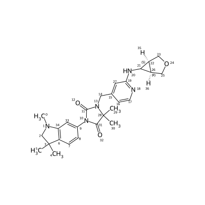 CN1CC(C)(C)c2ccc(N3C(=O)N(Cc4ccnc(NC5[C@H]6COC[C@@H]56)c4)C(C)(C)C3=O)cc21